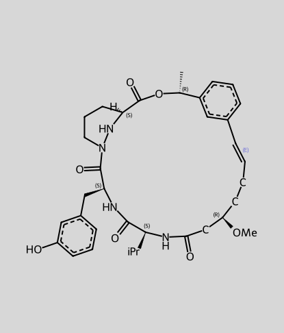 CO[C@@H]1CC/C=C/c2cccc(c2)[C@@H](C)OC(=O)[C@@H]2CCCN(N2)C(=O)[C@H](Cc2cccc(O)c2)NC(=O)[C@H](C(C)C)NC(=O)C1